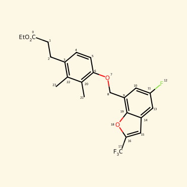 CCOC(=O)CCc1ccc(OCc2cc(F)cc3cc(C(F)(F)F)oc23)c(C)c1C